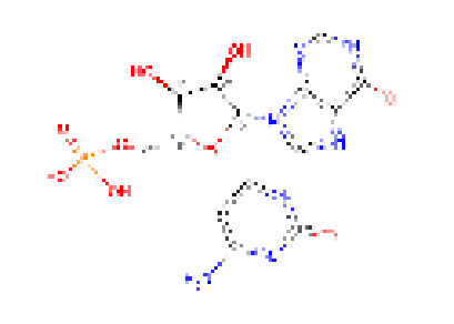 Nc1cc[nH]c(=O)n1.O=P(O)(O)OC[C@H]1O[C@@H](n2cnc3c(O)ncnc32)[C@H](O)[C@@H]1O